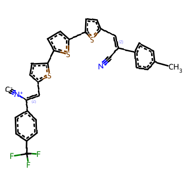 [C-]#[N+]/C(=C\c1ccc(-c2ccc(-c3ccc(/C=C(\C#N)c4ccc(C)cc4)s3)s2)s1)c1ccc(C(F)(F)F)cc1